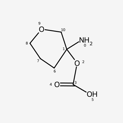 NC1(OC(=O)O)CCCOC1